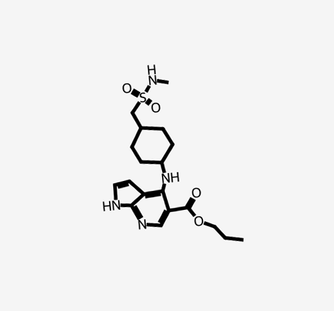 CCCOC(=O)c1cnc2[nH]ccc2c1NC1CCC(CS(=O)(=O)NC)CC1